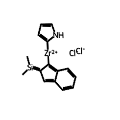 C[Si](C)=C1C=c2ccccc2=[C]1[Zr+2][c]1ccc[nH]1.[Cl-].[Cl-]